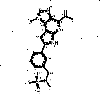 CNc1nc2[nH]c(-c3cccc(CN(C)S(C)(=O)=O)c3)cc2c2c1ncn2C